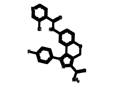 NC(=O)c1nn(-c2ccc(F)cc2)c2c1COc1ccc(NC(=O)c3ccncc3Cl)cc1-2